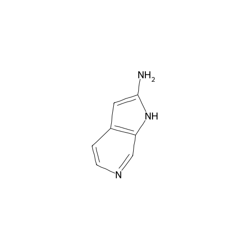 Nc1cc2ccncc2[nH]1